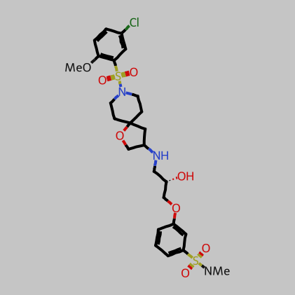 CNS(=O)(=O)c1cccc(OC[C@@H](O)CNC2COC3(CCN(S(=O)(=O)c4cc(Cl)ccc4OC)CC3)C2)c1